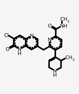 CNC(=O)c1ccc(C2=CCNCC2C)c(Cc2cnc3cc(Cl)c(=O)[nH]c3c2)n1